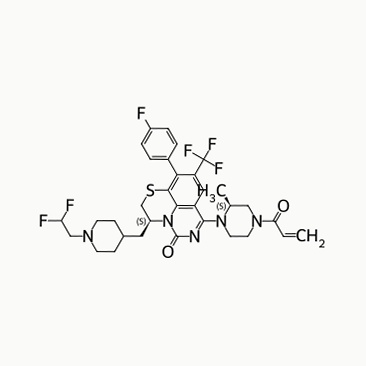 C=CC(=O)N1CCN(c2nc(=O)n3c4c(c(-c5ccc(F)cc5)c(C(F)(F)F)cc24)SC[C@@H]3CC2CCN(CC(F)F)CC2)[C@@H](C)C1